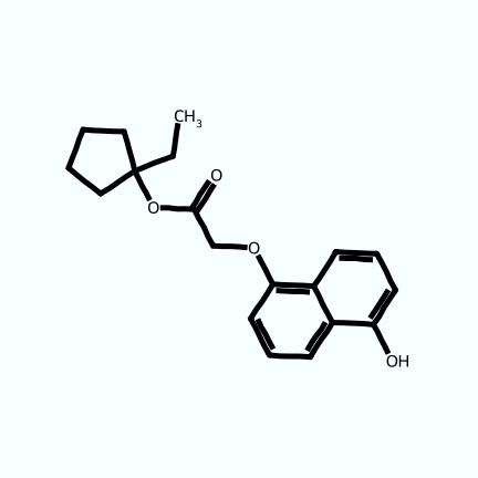 CCC1(OC(=O)COc2cccc3c(O)cccc23)CCCC1